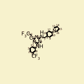 FC(F)(F)COc1nc(NCc2ccc(-n3cccc3)cc2)nc(Nc2cccc(C(F)(F)F)c2)n1